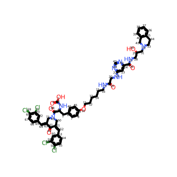 O=C(O)NC(Cc1ccc(OCCCCCCNC(=O)CNc2cc(C(=O)NCC(O)CN3CCc4ccccc4C3)ncn2)cc1)C(=O)N1CC(=Cc2ccc(Cl)c(Cl)c2)C(=O)C(=Cc2ccc(Cl)c(Cl)c2)C1